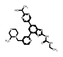 CCNC(=O)Nc1nc2cc(-c3cnc(C(C)O)nc3)cc(-c3cc(CN4CCOCC4C)ccn3)c2s1